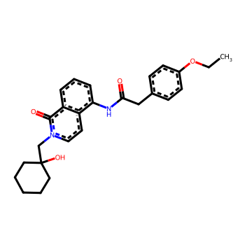 CCOc1ccc(CC(=O)Nc2cccc3c(=O)n(CC4(O)CCCCC4)ccc23)cc1